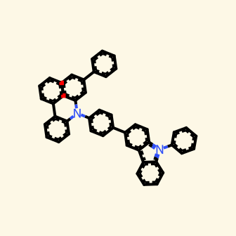 c1ccc(-c2cccc(N(c3ccc(-c4ccc5c(c4)c4ccccc4n5-c4ccccc4)cc3)c3ccccc3-c3ccccc3)c2)cc1